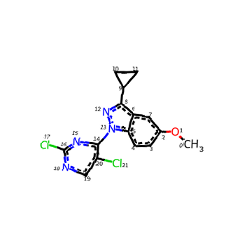 COc1ccc2c(c1)c(C1CC1)nn2-c1nc(Cl)ncc1Cl